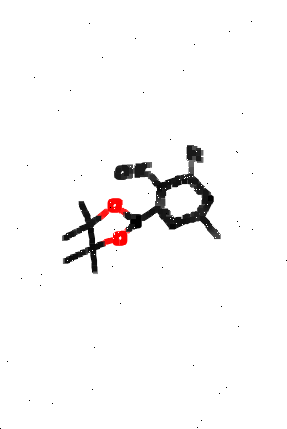 CCc1cc(C)cc(B2OC(C)(C)C(C)(C)O2)c1C=O